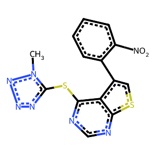 Cn1nnnc1Sc1ncnc2scc(-c3ccccc3[N+](=O)[O-])c12